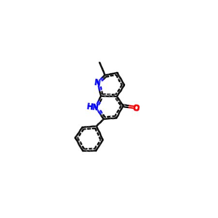 Cc1ccc2c(=O)cc(-c3ccccc3)[nH]c2n1